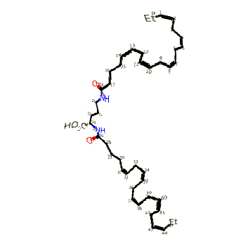 CC/C=C\C/C=C\C/C=C\C/C=C\C/C=C\CCCC(=O)NCCC[C@H](NC(=O)CCC/C=C\C/C=C\C/C=C\C/C=C\C/C=C\CC)C(=O)O